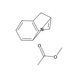 COC(C)=O.c1cc2c3cc(cnc3c1)C2